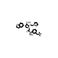 CCCCN(C(=O)CN1C[C@H](c2ccc3c(c2)CCO3)[C@@H](C=O)[C@@H]1CCn1cccn1)c1cccc(C[N+](C)(C)C)c1